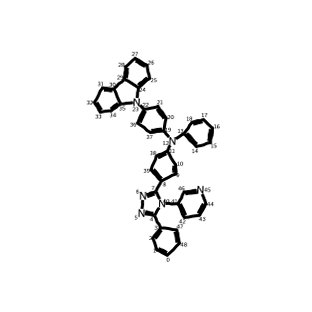 c1ccc(-c2nnc(-c3ccc(N(c4ccccc4)c4ccc(-n5c6ccccc6c6ccccc65)cc4)cc3)n2-c2cccnc2)cc1